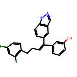 Oc1cccc(/C(=C/CCc2ccc(Cl)cc2F)c2ccc3[nH]ncc3c2)c1